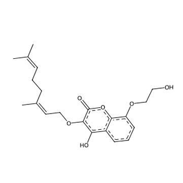 CC(C)=CCCC(C)=CCOc1c(O)c2cccc(OCCO)c2oc1=O